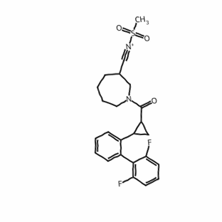 CS(=O)(=O)[N+]#CC1CCCCN(C(=O)C2CC2c2ccccc2-c2c(F)cccc2F)C1